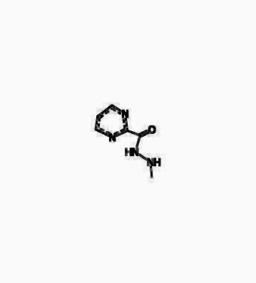 CNNC(=O)c1ncccn1